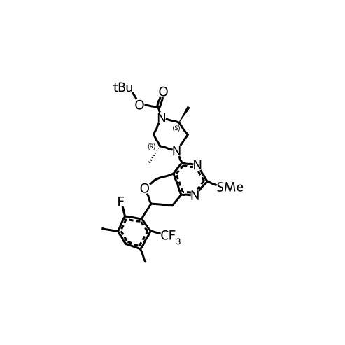 CSc1nc2c(c(N3C[C@H](C)N(C(=O)OC(C)(C)C)C[C@H]3C)n1)COC(c1c(F)c(C)cc(C)c1C(F)(F)F)C2